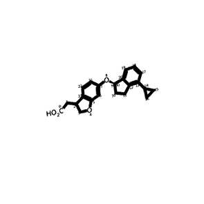 O=C(O)CC1COc2cc(O[C@@H]3CCc4c(C5CC5)cccc43)ccc21